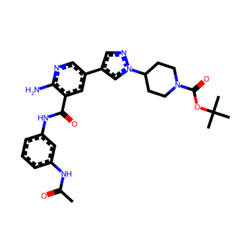 CC(=O)Nc1cccc(NC(=O)c2cc(-c3cnn(C4CCN(C(=O)OC(C)(C)C)CC4)c3)cnc2N)c1